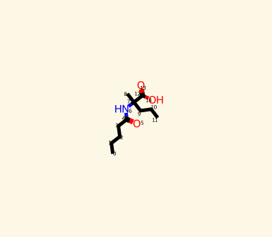 CCCCC(=O)NC(C)(CCC)C(=O)O